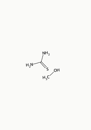 CO.NC(N)=S